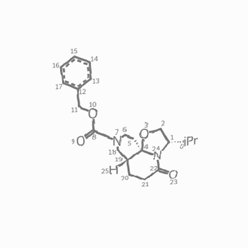 CC(C)[C@H]1CO[C@]23CCN(C(=O)OCc4ccccc4)C[C@H]2CCC(=O)N13